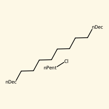 CCCCCCCCCCCCCCCCCCCCCCCCCCCC.CCCCCCl